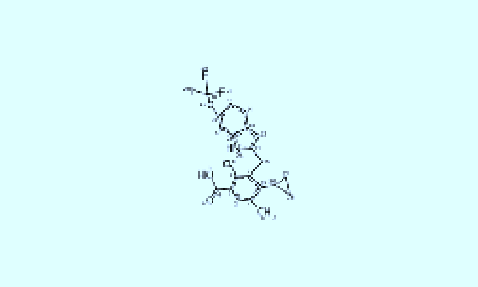 Cc1cc(C(=O)O)c(Cl)c(Cc2cc3ccc(OC(F)(F)F)cc3[nH]2)c1C1CC1